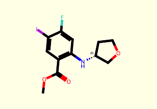 COC(=O)c1cc(I)c(F)cc1N[C@@H]1CCOC1